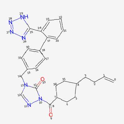 C=CCCC1CCC(C(=O)n2ncn(Cc3ccc(-c4ccccc4-c4nnn[nH]4)cc3)c2=O)CC1